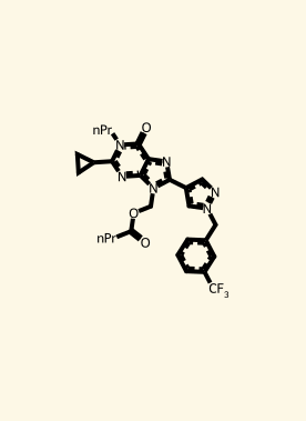 CCCC(=O)OCn1c(-c2cnn(Cc3cccc(C(F)(F)F)c3)c2)nc2c(=O)n(CCC)c(C3CC3)nc21